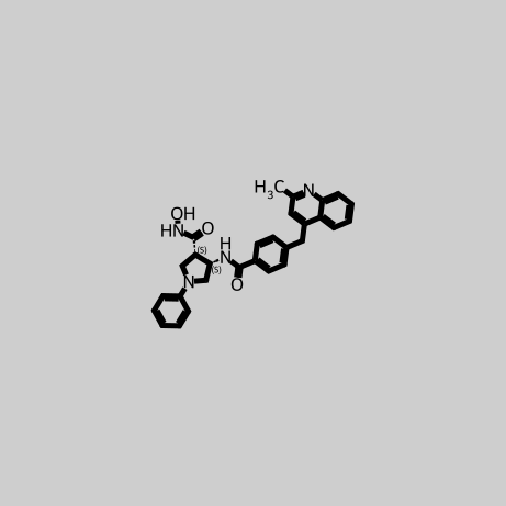 Cc1cc(Cc2ccc(C(=O)N[C@@H]3CN(c4ccccc4)C[C@@H]3C(=O)NO)cc2)c2ccccc2n1